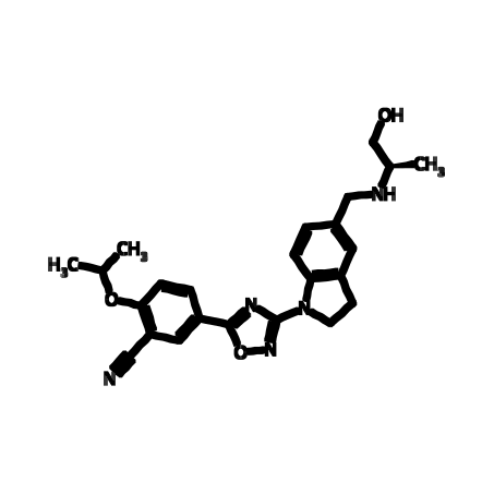 CC(C)Oc1ccc(-c2nc(N3CCc4cc(CN[C@H](C)CO)ccc43)no2)cc1C#N